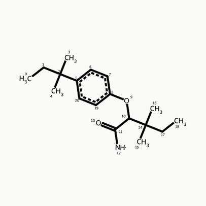 CCC(C)(C)c1ccc(OC(C([NH])=O)C(C)(C)CC)cc1